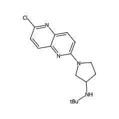 CC(C)(C)NC1CCN(c2ccc3nc(Cl)ccc3n2)C1